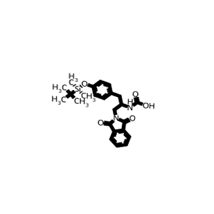 CC(C)(C)[Si](C)(C)Oc1ccc(CC(CN2C(=O)c3ccccc3C2=O)NC(=O)O)cc1